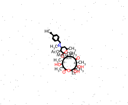 C#Cc1ccc(CN(C)[C@H]2C[C@@H](C)O[C@@H](O[C@@H]3[C@@H](C)[C@H](O)[C@@H](C)C(=O)O[C@H](CC)[C@@](C)(O)[C@H](O)[C@@H](C)C(=O)C[C@@H](C)[C@@]3(C)OC)[C@H]2OC(C)=O)cc1